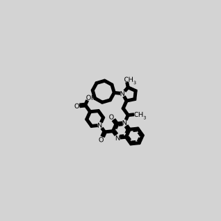 CC1CCC(CC(C)n2c(=O)c(C(=O)N3CCC(C(=O)O)CC3)nc3ccccc32)N1C1CCCCCCC1